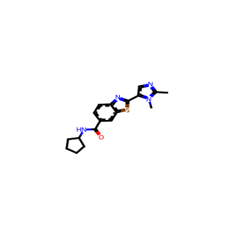 Cc1ncc(-c2nc3ccc(C(=O)NC4CCCC4)cc3s2)n1C